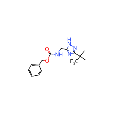 CC(C)(c1n[nH]c(CNC(=O)OCc2ccccc2)n1)C(F)(F)F